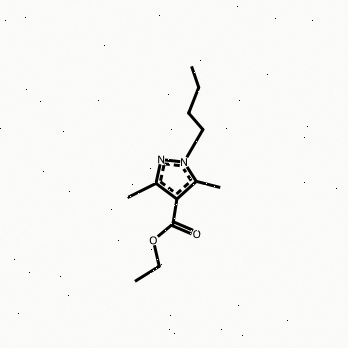 CCCCn1nc(C)c(C(=O)OCC)c1C